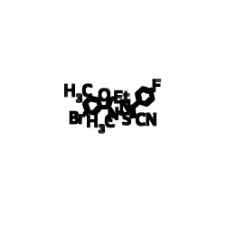 CCc1oc2c(C)cc(Br)cc2c1N(C)c1nc(-c2ccc(F)cc2)c(C#N)s1